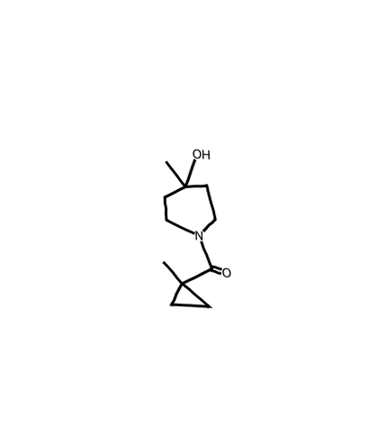 CC1(O)CCN(C(=O)C2(C)CC2)CC1